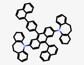 C1=CC2=C(CC1)CCc1ccccc1N2c1ccc2c(-c3cccc4ccccc34)c3cc(N4C5=C(CCC=C5)CCc5ccccc54)ccc3c(-c3ccc(-c4cccc5ccccc45)cc3)c2c1